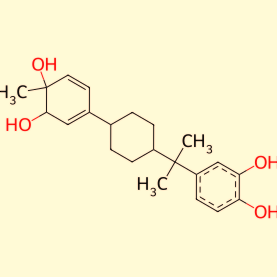 CC1(O)C=CC(C2CCC(C(C)(C)c3ccc(O)c(O)c3)CC2)=CC1O